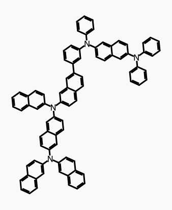 c1ccc(N(c2ccccc2)c2ccc3cc(N(c4ccccc4)c4cccc(-c5ccc6ccc(N(c7ccc8ccccc8c7)c7ccc8cc(N(c9ccc%10ccccc%10c9)c9ccc%10ccccc%10c9)ccc8c7)cc6c5)c4)ccc3c2)cc1